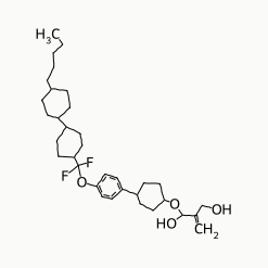 C=C(CO)C(O)OC1CCC(c2ccc(OC(F)(F)C3CCC(C4CCC(CCCCC)CC4)CC3)cc2)CC1